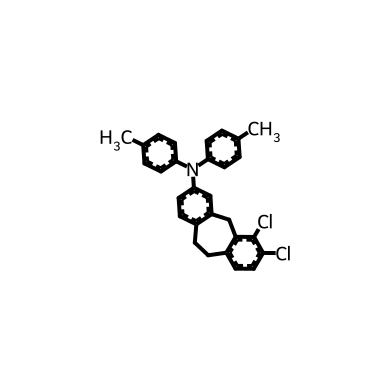 Cc1ccc(N(c2ccc(C)cc2)c2ccc3c(c2)Cc2c(ccc(Cl)c2Cl)CC3)cc1